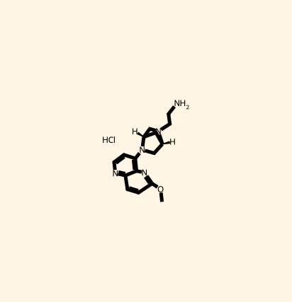 COc1ccc2nccc(N3C[C@@H]4C[C@H]3CN4CCN)c2n1.Cl